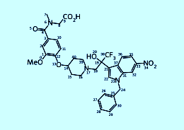 COc1cc(C(=O)N(C)CC(=O)O)ccc1OC1CCN(CC(O)(c2cn(Cc3ccccc3)c3cc([N+](=O)[O-])ccc23)C(F)(F)F)CC1